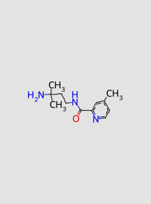 Cc1ccnc(C(=O)NCCC(C)(C)N)c1